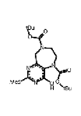 CSc1nc(O)c2c(n1)CN(C(=O)OC(C)(C)C)CCN2C(=O)OC(C)(C)C